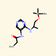 CC(=O)OCC(=O)Nc1cncnc1NC(C)CO[Si](C)(C)C(C)(C)C